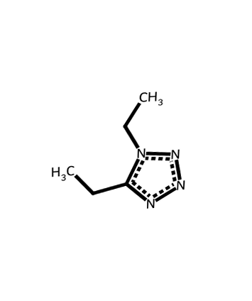 CCc1nnnn1CC